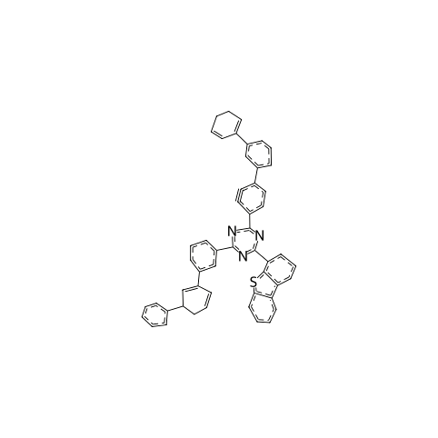 c1c(-c2cccc(C3=CCCC=C3)c2)ccc(-c2nc(-c3cccc(C4=CC(c5ccccc5)CC=C4)c3)nc(-c3cccc4c3sc3ccccc34)n2)c#1